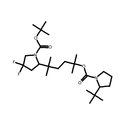 CC(C)(C)OC(=O)N1CC(F)(F)CC1C(C)(C)CCC(C)(C)OC(=O)N1CCCC1C(C)(C)C